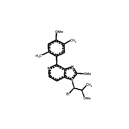 CCC(C(C)OC)n1c(OC)nc2c(-c3cc(C)c(OC)cc3C)nccc21